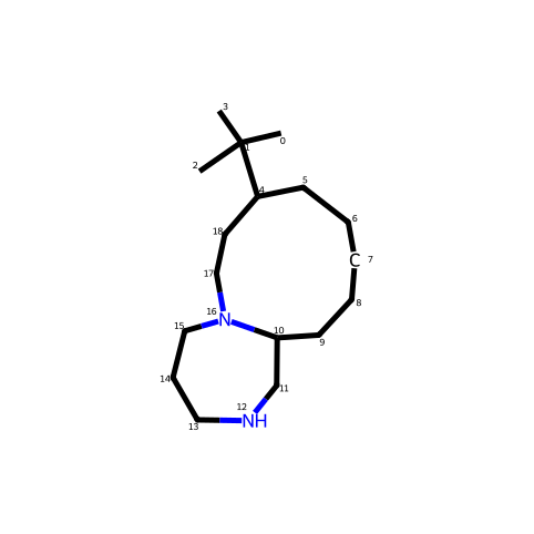 CC(C)(C)C1CCCCCC2CNCCCN2CC1